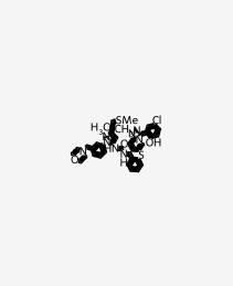 CSCC(C)(C)c1cc(NC(=O)NCc2ccccc2Sc2ccc3nnc(-c4cc(Cl)ccc4O)n3c2)n(-c2cccc(CN3CCOCC3)c2)n1